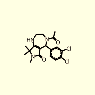 CC(=O)N1CCNC2=C(C(=O)N(C)C2(C)C)C1c1ccc(Cl)c(Cl)c1